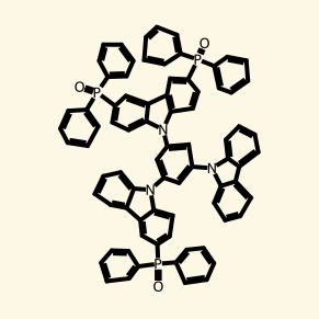 O=P(c1ccccc1)(c1ccccc1)c1ccc2c(c1)c1ccccc1n2-c1cc(-n2c3ccccc3c3ccccc32)cc(-n2c3ccc(P(=O)(c4ccccc4)c4ccccc4)cc3c3cc(P(=O)(c4ccccc4)c4ccccc4)ccc32)c1